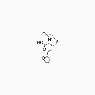 O=C(O)C1=C(C=Cc2ccco2)CSC2CC(=O)N12